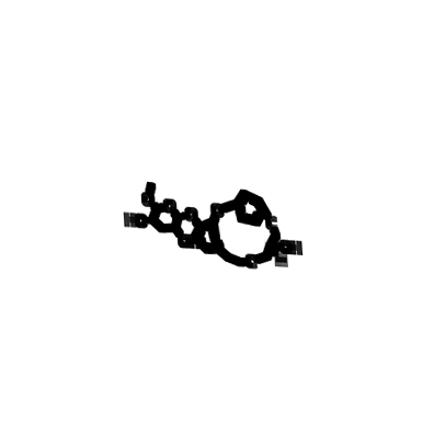 COC1O[C@@H](Oc2ccc3cc2Oc2ccc(cc2)CC[C@H](O)CCCC3)C(O)C[C@H]1O